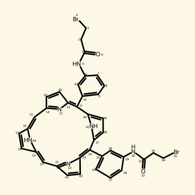 O=C(CCBr)Nc1cccc(-c2c3nc(cc4ccc(cc5nc(c(-c6cccc(NC(=O)CCBr)c6)c6ccc2[nH]6)C=C5)[nH]4)C=C3)c1